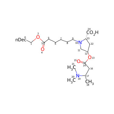 CCCCCCCCCCCOC(=O)CCCCCN1CC(OC(=O)CC(C)N(C)C)C[C@H]1C(=O)O